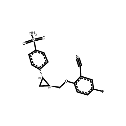 N#Cc1cc(F)ccc1OC[C@H]1C[C@@H]1c1ccc(S(N)(=O)=O)cc1